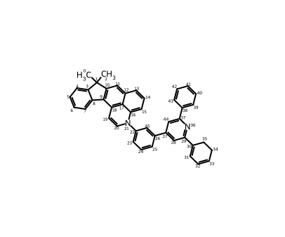 CC1(C)c2ccccc2-c2c1cc1cccc3c1c2C=CN3c1cccc(-c2cc(C3=CC=CCC3)nc(-c3ccccc3)c2)c1